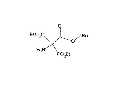 CCOC(=O)C(N)(C(=O)OCC)C(=O)OC(C)(C)C